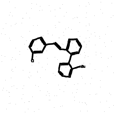 CCCCc1ccccc1-c1ccccc1C=Cc1cccc(Cl)c1